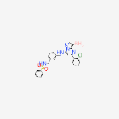 Bc1cnn2c(NCc3cccc(CNS(=O)(=O)c4ccccc4)c3)cc(-c3ccccc3Cl)nc12